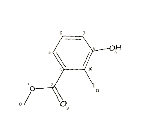 COC(=O)c1cccc(O)c1I